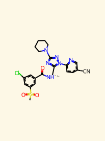 C[C@H](NC(=O)c1cc(Cl)cc(S(C)(=O)=O)c1)c1nc(N2CCCCC2)nn1-c1ccc(C#N)cn1